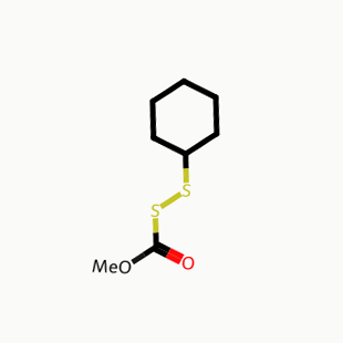 COC(=O)SSC1CCCCC1